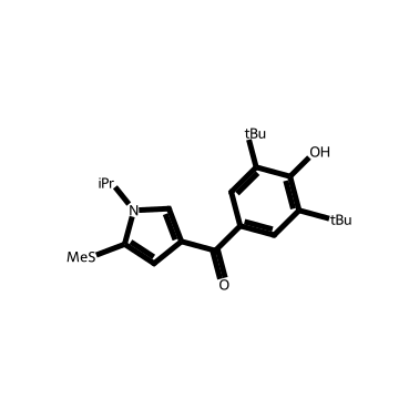 CSc1cc(C(=O)c2cc(C(C)(C)C)c(O)c(C(C)(C)C)c2)cn1C(C)C